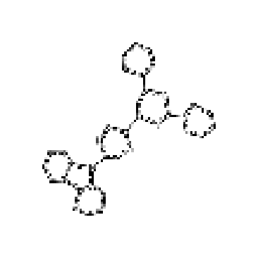 c1ccc(-c2cc(-c3cnc(-n4c5ccccc5c5ccccc54)cn3)nc(-c3ccccc3)n2)cc1